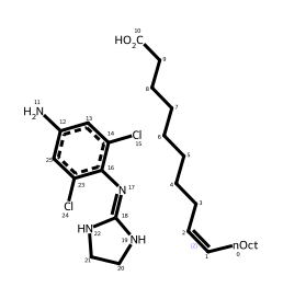 CCCCCCCC/C=C\CCCCCCCC(=O)O.Nc1cc(Cl)c(N=C2NCCN2)c(Cl)c1